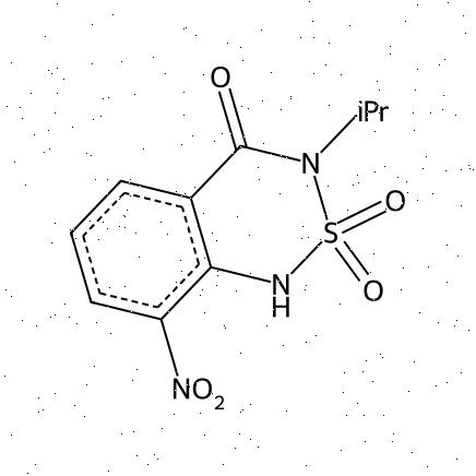 CC(C)N1C(=O)c2cccc([N+](=O)[O-])c2NS1(=O)=O